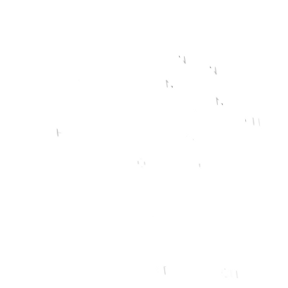 Cn1nnn(-c2cccc(C(F)F)c2COc2cc(Cl)c(O)cc2Cl)c1=O